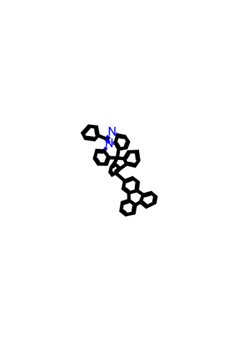 c1ccc(-c2nc3cccc4c3n2-c2ccccc2C42c3ccccc3-c3c(-c4ccc5c6ccccc6c6ccccc6c5c4)cccc32)cc1